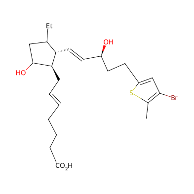 CCC1CC(O)[C@H](CC=CCCCC(=O)O)[C@H]1C=C[C@@H](O)CCc1cc(Br)c(C)s1